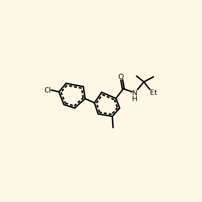 CCC(C)(C)NC(=O)c1cc(C)cc(-c2ccc(Cl)cc2)c1